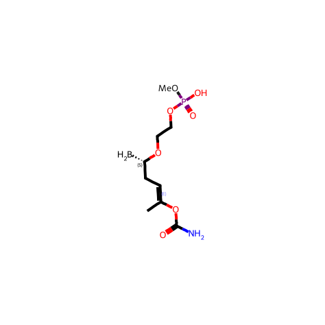 B[C@@H](C/C=C(\C)OC(N)=O)OCCOP(=O)(O)OC